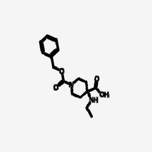 CCNC1(C(=O)O)CCN(C(=O)OCc2ccccc2)CC1